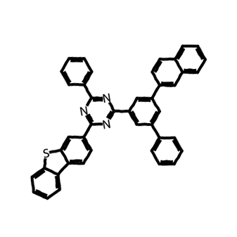 c1ccc(-c2cc(-c3ccc4ccccc4c3)cc(-c3nc(-c4ccccc4)nc(-c4ccc5c(c4)sc4ccccc45)n3)c2)cc1